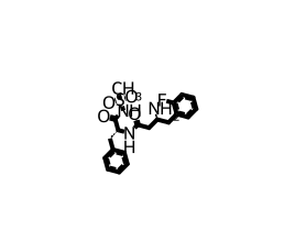 CS(=O)(=O)NC(=O)[C@@H](Cc1ccccc1)NC(=O)C[C@H](N)Cc1ccccc1F